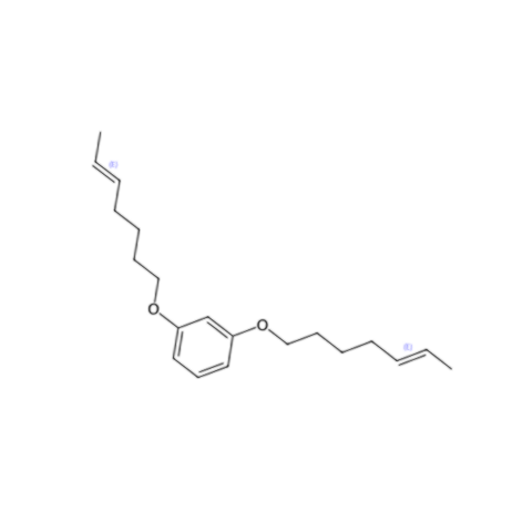 C/C=C/CCCCOc1cccc(OCCCC/C=C/C)c1